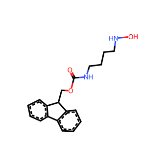 O=C(NCCCCNO)OCC1c2ccccc2-c2ccccc21